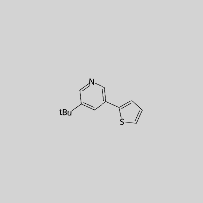 CC(C)(C)c1cncc(-c2cccs2)c1